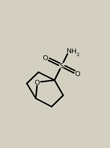 NS(=O)(=O)C12CCC(CC1)O2